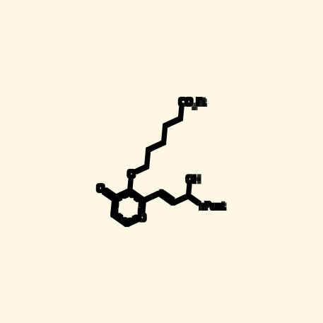 CCCCCC(O)/C=C/c1occc(=O)c1OCCCCCC(=O)OCC